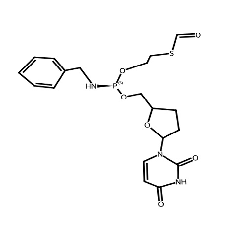 O=CSCCO[P@](NCc1ccccc1)OCC1CCC(n2ccc(=O)[nH]c2=O)O1